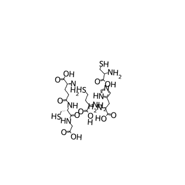 NC(CCS)C(=O)O.NC(CS)C(=O)O.N[C@@H](CCC(=O)N[C@@H](CS)C(=O)NCC(=O)O)C(=O)O.N[C@@H](Cc1cnc[nH]1)C(=O)O